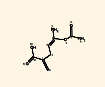 C=C(CC=C(N)OC(N)=O)C(=O)O